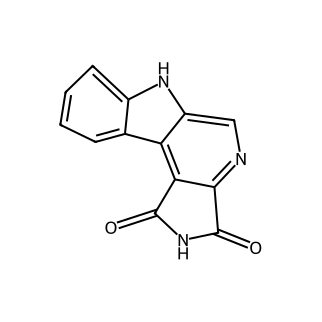 O=C1NC(=O)c2c1ncc1[nH]c3ccccc3c21